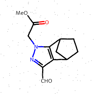 COC(=O)Cn1nc(C=O)c2c1C1CCC2C1